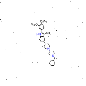 COc1ccc(-c2[nH]c3ccc(C4CCN(C5CCN(CC6CCCCC6)CC5)CC4)cc3c2C)cc1OC